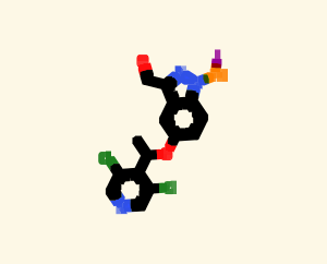 CC(Oc1ccc2c(c1)c(C=O)nn2PI)c1c(Cl)cncc1Cl